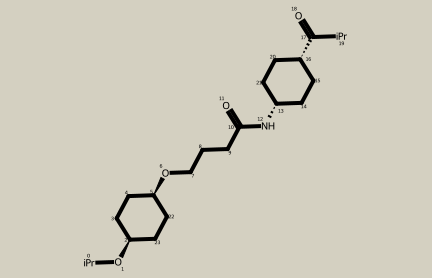 CC(C)O[C@H]1CC[C@@H](OCCCC(=O)N[C@H]2CC[C@@H](C(=O)C(C)C)CC2)CC1